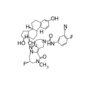 CN1C[C@@H](F)Cn2nc3c(c2C1=O)CN(C(=O)Nc1ccc(F)c(C#N)c1)CC3.C[C@]12CC[C@@H]3c4ccc(O)cc4CC[C@H]3[C@@H]1CC[C@@H]2O